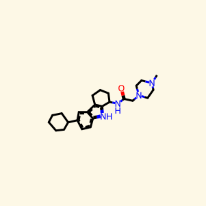 CN1CCN(CC(=O)NC2CCCc3c2[nH]c2ccc(C4CCCCC4)cc32)CC1